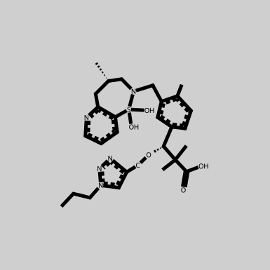 CCCn1cc(CO[C@H](c2ccc(C)c(CN3C[C@@H](C)Cc4ncccc4S3(O)O)c2)C(C)(C)C(=O)O)nn1